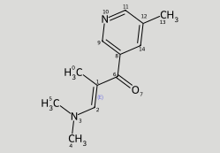 C/C(=C\N(C)C)C(=O)c1cncc(C)c1